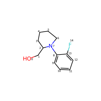 OCC1CCCCN1c1ccccc1F